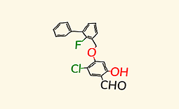 O=Cc1cc(Cl)c(OCc2cccc(-c3ccccc3)c2F)cc1O